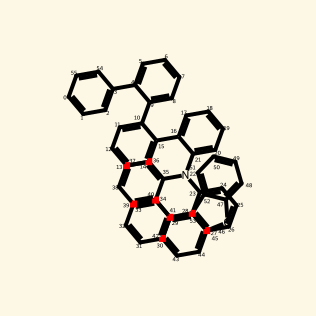 c1ccc(-c2ccccc2-c2ccccc2-c2ccccc2N(c2ccccc2-c2ccccc2)c2ccccc2-c2cccc3oc4ccccc4c23)cc1